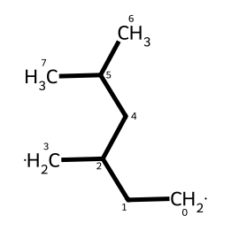 [CH2]CC([CH2])CC(C)C